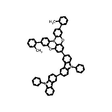 Cc1ccccc1-c1ccc2c(c1)Oc1cc(-c3ccc4c(c3)c3cc(-c5ccc6c(c5)c5ccccc5n6-c5ccccc5)ccc3n4-c3ccccc3)cc3c1B2c1ccc(-c2ccccc2C)cc1O3